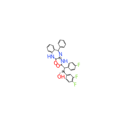 O=C(N[C@H]1N=C(c2ccccc2)c2ccccc2NC1=O)C(c1ccc(F)cc1)[C@@H](CO)c1ccc(F)c(F)c1